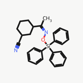 CC(=NO[Si](c1ccccc1)(c1ccccc1)c1ccccc1)C1CCCC(C#N)C1